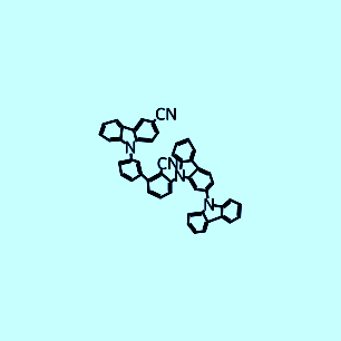 N#Cc1ccc2c(c1)c1ccccc1n2-c1cccc(-c2cccc(-n3c4ccccc4c4ccc(-n5c6ccccc6c6ccccc65)cc43)c2C#N)c1